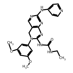 CCNC(=O)NC1=Nc2nc(Nc3ccncc3)ncc2CN1c1cc(OC)cc(OC)c1